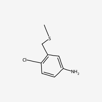 CSCc1cc(N)ccc1Cl